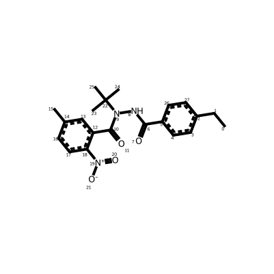 CCc1ccc(C(=O)NN(C(=O)c2cc(C)ccc2[N+](=O)[O-])C(C)(C)C)cc1